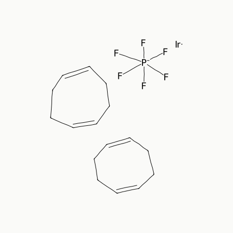 C1=C\CC/C=C\CC/1.C1=C\CC/C=C\CC/1.F[P-](F)(F)(F)(F)F.[Ir]